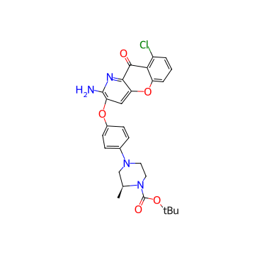 C[C@H]1CN(c2ccc(Oc3cc4oc5cccc(Cl)c5c(=O)c4nc3N)cc2)CCN1C(=O)OC(C)(C)C